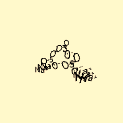 O=S([O-])[O-].O=S([O-])[O-].O=S([O-])[O-].[Na+].[Na+].[Na+].[Na+].[Na+].[Na+]